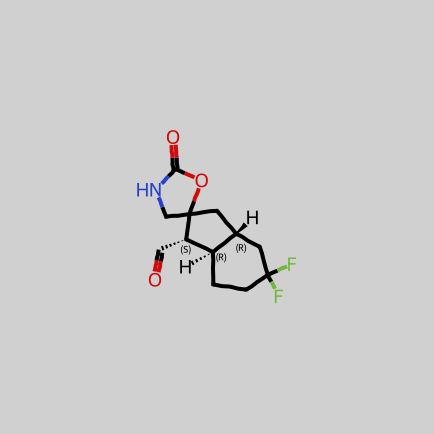 O=C[C@H]1[C@@H]2CCC(F)(F)C[C@H]2CC12CNC(=O)O2